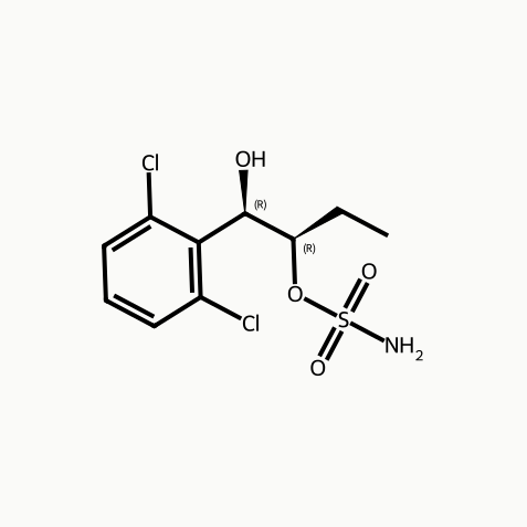 CC[C@@H](OS(N)(=O)=O)[C@H](O)c1c(Cl)cccc1Cl